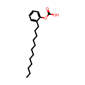 CCCCCCCCCCCCc1ccccc1OC(=O)O